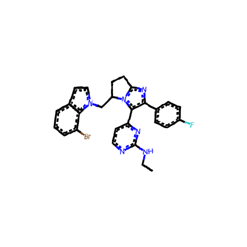 CCNc1nccc(-c2c(-c3ccc(F)cc3)nc3n2C(Cn2ccc4cccc(Br)c42)CC3)n1